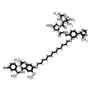 COc1cc2c(N[C@H](C)c3cccc(Br)c3)nc(C)nc2cc1OCCCCCCCCCCCCCOc1cc(-c2scnc2C)ccc1CNC(=O)[C@@H]1C[C@@H](O)CN1C(=O)[C@@H](NC(C)=O)C(C)(C)C